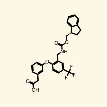 O=C(O)Cc1cccc(Oc2ccc(C(F)(F)F)cc2CNC(=O)OC[C@@H]2CCc3ccccc32)c1